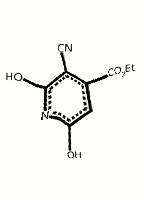 CCOC(=O)c1cc(O)nc(O)c1C#N